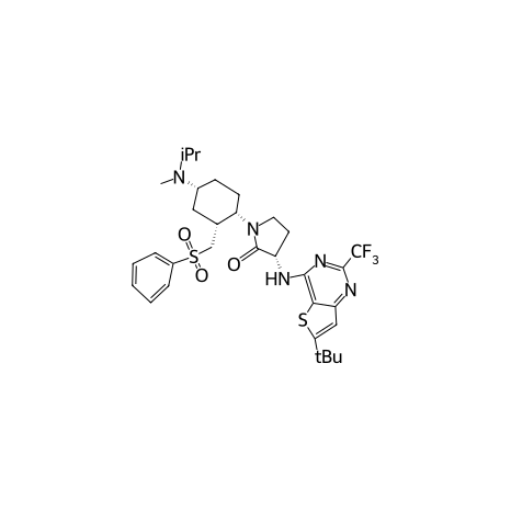 CC(C)N(C)[C@@H]1CC[C@H](N2CC[C@H](Nc3nc(C(F)(F)F)nc4cc(C(C)(C)C)sc34)C2=O)[C@H](CS(=O)(=O)c2ccccc2)C1